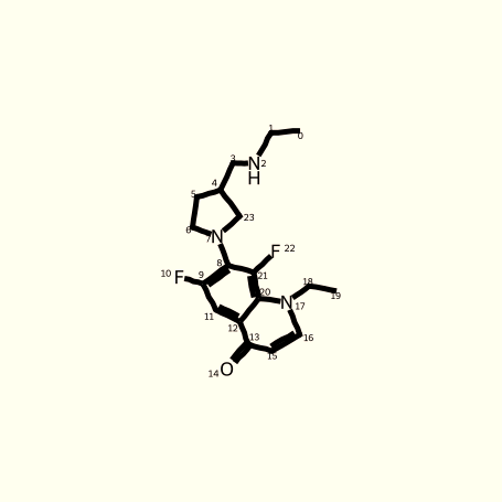 CCNCC1CCN(c2c(F)cc3c(=O)ccn(CC)c3c2F)C1